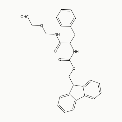 O=CCOCNC(=O)C(Cc1ccccc1)NC(=O)OCC1c2ccccc2-c2ccccc21